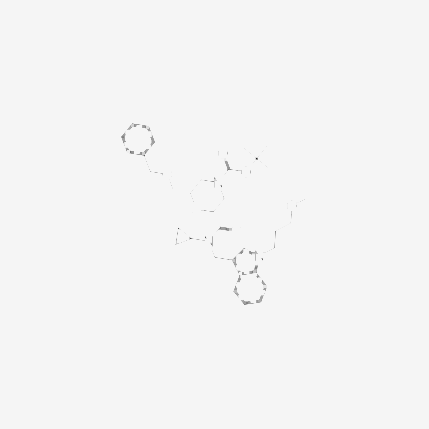 COCCCn1cc(CN(C(=O)[C@H]2CN(C(=O)OC(C)(C)C)C[C@@H](COCc3ccccc3)O2)C2CC2)c2ccccc21